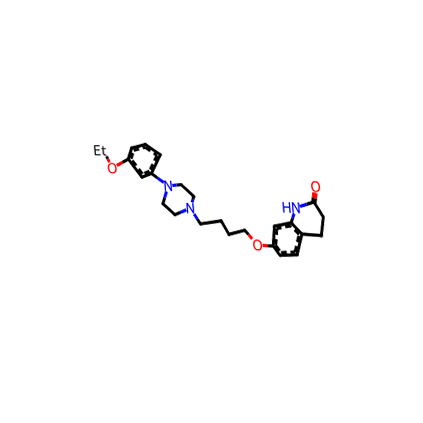 CCOc1cccc(N2CCN(CCCCOc3ccc4c(c3)NC(=O)CC4)CC2)c1